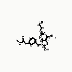 COC(=O)Cc1cccc(Cn2c(O)nc3c(N)nc(SCCO)nc32)c1